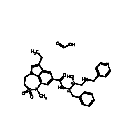 CCc1cn2c3c(cc(C(=O)N[C@@H](Cc4ccccc4)[C@H](O)CNCc4ccncc4)cc13)N(C)S(=O)(=O)CC2.O=CO